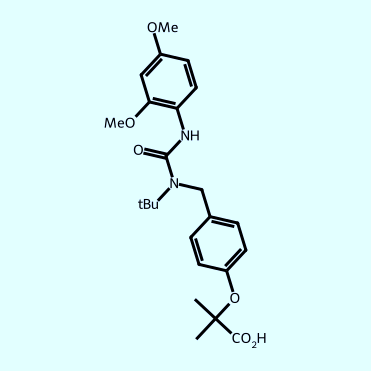 COc1ccc(NC(=O)N(Cc2ccc(OC(C)(C)C(=O)O)cc2)C(C)(C)C)c(OC)c1